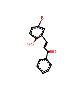 O=C(/C=C/c1cc(Br)ccc1O)c1ccccc1